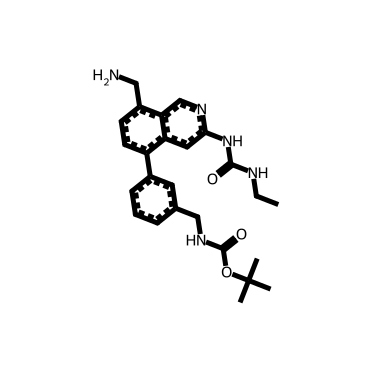 CCNC(=O)Nc1cc2c(-c3cccc(CNC(=O)OC(C)(C)C)c3)ccc(CN)c2cn1